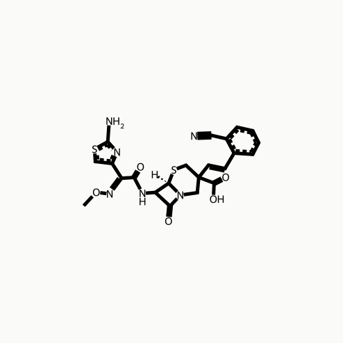 CON=C(C(=O)NC1C(=O)N2CC(C=Cc3ccccc3C#N)(C(=O)O)CS[C@H]12)c1csc(N)n1